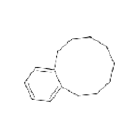 c1ccc2c(c1)CCCCCCCC2